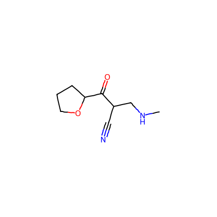 CNCC(C#N)C(=O)C1CCCO1